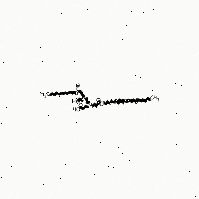 CCCCCCCCCCCCCCCCCCCCCCCOC(=O)CCCN(CCCC(=O)O)CCCN(CCO)CCCC(=C=O)OCCCCCCCCCCCCC